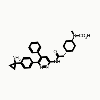 CN(C(=O)O)[C@H]1CC[C@H](CC(=O)Nc2cc(-c3ccccc3)c(-c3ccc(C4(N)CC4)cc3)nn2)CC1